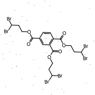 O=C(OCCC(Br)Br)c1ccc(C(=O)OCCC(Br)Br)c(C(=O)OCCC(Br)Br)c1